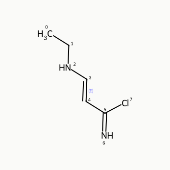 CCN/C=C/C(=N)Cl